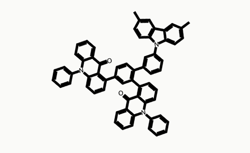 Cc1ccc2c(c1)c1cc(C)ccc1n2-c1cccc(-c2ccc(-c3cccc4c3c(=O)c3ccccc3n4-c3ccccc3)cc2-c2cccc3c2c(=O)c2ccccc2n3-c2ccccc2)c1